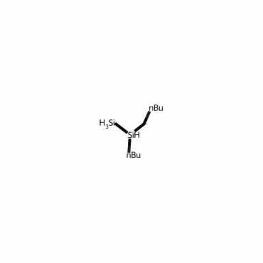 CCCC[CH][SiH]([SiH3])CCCC